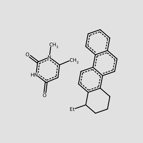 CCC1CCCc2c1ccc1c2ccc2ccccc21.Cc1cc(=O)[nH]c(=O)n1C